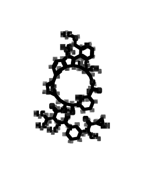 CO[C@@H](C)c1ncccc1-c1c2c3cc(ccc3n1C)-c1csc(n1)C[C@H](NC(=O)[C@H](C(C)C)N(C)C(=O)N1CCC[C@H](N(C)C(=O)[C@H]3CN3)C1)C(=O)N1CCC[C@H](N1)C(=O)OCC(C)(C)C2